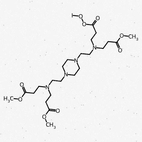 COC(=O)CCN(CCC(=O)OC)CCN1CCN(CCN(CCC(=O)OC)CCC(=O)OOI)CC1